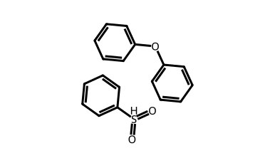 O=[SH](=O)c1ccccc1.c1ccc(Oc2ccccc2)cc1